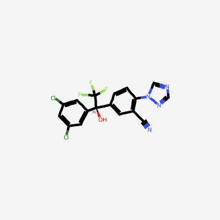 N#Cc1cc([C@](O)(c2cc(Cl)cc(Cl)c2)C(F)(F)F)ccc1-n1cncn1